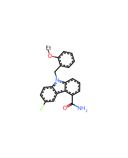 CCOc1ccccc1Cn1c2ccc(F)[c]c2c2c(C(N)=O)cccc21